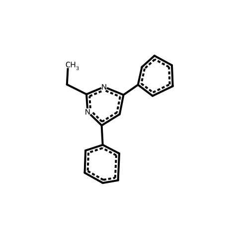 CCc1nc(-c2ccccc2)cc(-c2ccccc2)n1